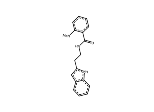 CNc1ccccc1C(=O)NCCc1cc2ccccc2[nH]1